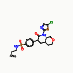 CNCCNS(=O)(=O)c1ccc(C(CC2CCOCC2)C(=O)Nc2ncc(Cl)s2)cc1